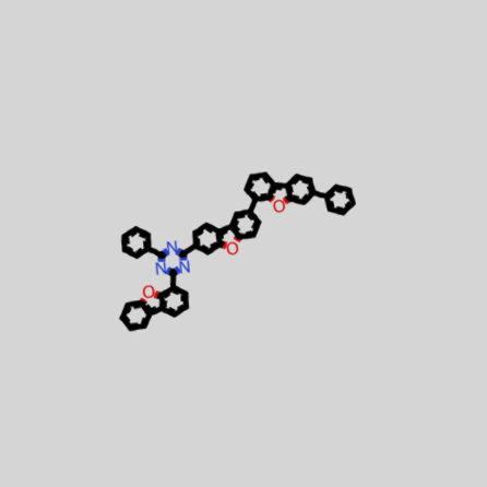 c1ccc(-c2ccc3c(c2)oc2c(-c4ccc5oc6cc(-c7nc(-c8ccccc8)nc(-c8cccc9c8oc8ccccc89)n7)ccc6c5c4)cccc23)cc1